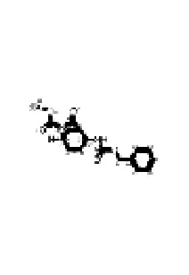 CC(C)(C)OC(=O)N1C(=O)C2C[C@H]1CC[C@@H]2NC(=O)OCc1ccccc1